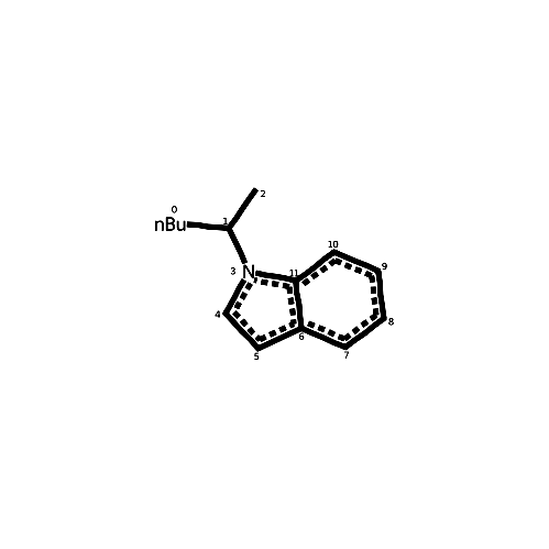 CCCCC(C)n1ccc2ccccc21